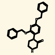 O=C1CNCCN1c1ccc(OCc2ccccc2)nc1OCc1ccccc1